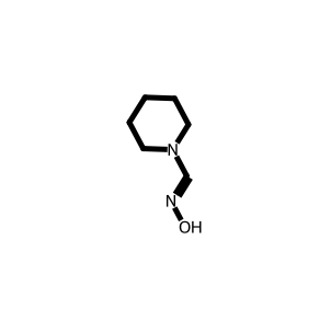 ON=CN1CCCCC1